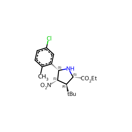 CCOC(=O)[C@H]1N[C@@H](c2cc(Cl)ccc2C)[C@@H]([N+](=O)[O-])[C@@H]1C(C)(C)C